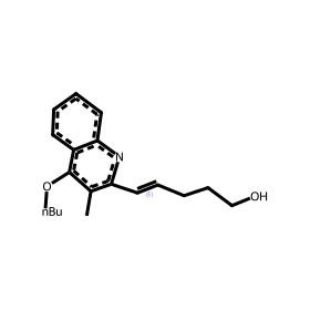 CCCCOc1c(C)c(/C=C/CCCO)nc2ccccc12